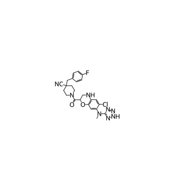 CN(c1nn[nH]n1)c1cc2c(cc1Cl)NCC(C(=O)N1CCC(C#N)(Cc3ccc(F)cc3)CC1)O2